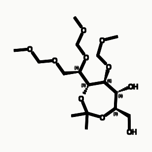 COCOC[C@@H](OCOC)[C@H]1OC(C)(C)O[C@H](CO)[C@@H](O)[C@@H]1OCOC